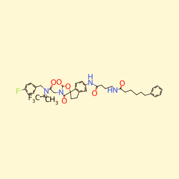 C[C@H](N(Cc1ccc(F)cc1)C(=O)CN1C(=O)OC2(CCc3cc(NC(=O)CCCNC(=O)CCCCCc4ccccc4)ccc32)C1=O)C(F)(F)F